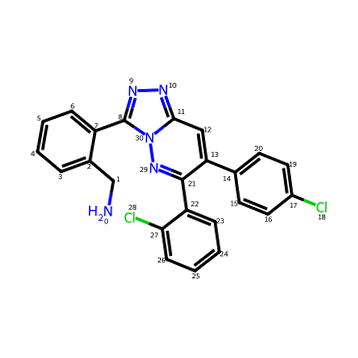 NCc1ccccc1-c1nnc2cc(-c3ccc(Cl)cc3)c(-c3ccccc3Cl)nn12